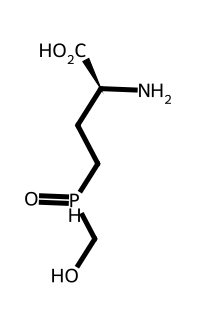 N[C@@H](CC[PH](=O)CO)C(=O)O